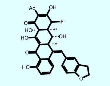 CC(=O)C1=C(O)C(C(C)C)[C@@]2(C)[C@H](O)[C@]3(C)C(=C(O)[C@@]2(O)C1=O)C(=O)c1c(O)cccc1/C3=C\c1ccc2c(c1)CCO2